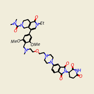 CCn1cc(-c2cc(OC)c(CN(C)CCOCCN3CCN(c4ccc5c(c4)C(=O)N(C4CCC(=O)NC4=O)C5=O)CC3)c(OC)c2)c2c(c1=O)CCN(C(=O)N(C)C)C2